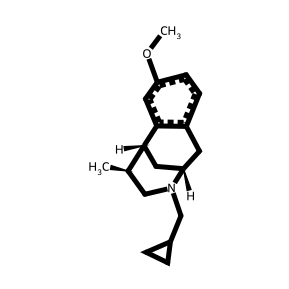 COc1ccc2c(c1)[C@@H]1C[C@H](C2)N(CC2CC2)C[C@H]1C